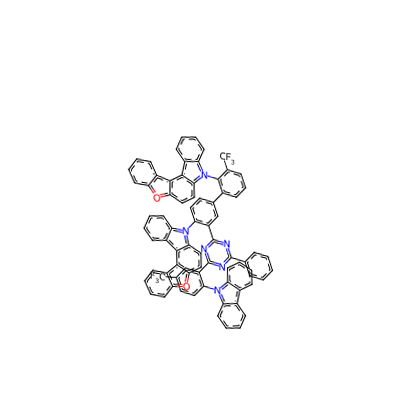 FC(F)(F)c1ccc(-n2c3ccccc3c3ccccc32)c(-c2nc(-c3ccccc3)nc(-c3cc(-c4cccc(C(F)(F)F)c4-n4c5ccccc5c5c6c(ccc54)oc4ccccc46)ccc3-n3c4ccccc4c4c5c(ccc43)oc3ccccc35)n2)c1